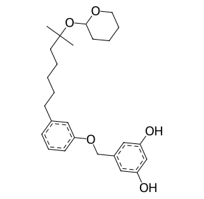 CC(C)(CCCCCc1cccc(OCc2cc(O)cc(O)c2)c1)OC1CCCCO1